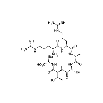 CC[C@H](C)[C@H](NC(=O)[C@@H](NC(=O)[C@@H](NC(=O)[C@H](C)NC(=O)[C@H](CCCNC(=N)N)NC(=O)[C@@H](N)CCCNC(=N)N)[C@@H](C)CC)[C@@H](C)O)C(=O)O